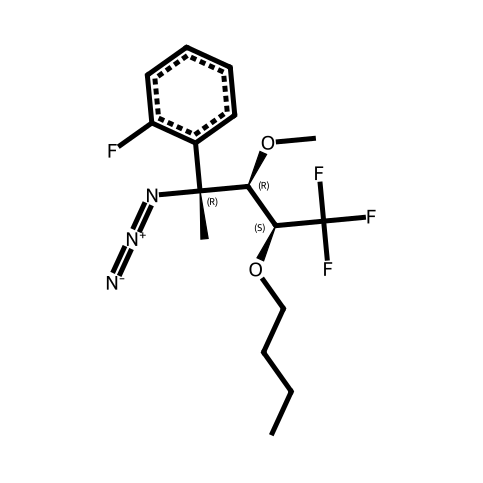 CCCCO[C@@H]([C@H](OC)[C@](C)(N=[N+]=[N-])c1ccccc1F)C(F)(F)F